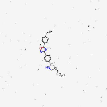 CC(C)Cc1ccc(-c2nc(-c3ccc([C@@H]4C[C@@H](CC(=O)O)CN4)cc3)no2)cc1